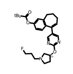 CC(C)(C)C(=O)Oc1ccc2c(c1)CCCC=C2c1cnc(O[C@H]2CCN(CCCF)C2)nc1